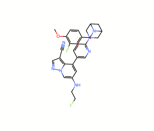 COc1ccc(CN2C3CC2CN(c2ccc(-c4cc(NCCF)cn5ncc(C#N)c45)cn2)C3)cc1F